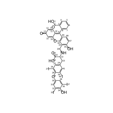 O=C(O)c1ccccc1-c1c2ccc(=O)cc-2oc2c(CNC(Cc3cc(I)c(Oc4cc(I)c(O)c(I)c4)c(I)c3)C(=O)O)c(O)ccc12